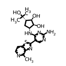 Cc1nccc2sc(-c3cnc(N)nc3N[C@@H]3C[C@H](C(C)(C)O)[C@@H](O)[C@H]3O)nc12